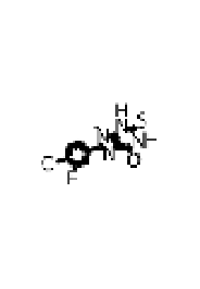 Cn1c(-c2ccc(Cl)c(F)c2)nc2c(=O)[nH]c(=S)[nH]c21